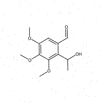 COc1cc(C=O)c(C(C)O)c(OC)c1OC